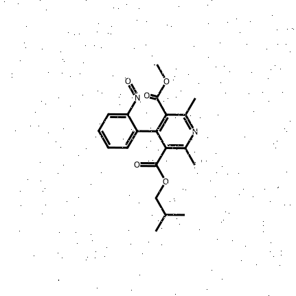 COC(=O)c1c(C)nc(C)c(C(=O)OCC(C)C)c1-c1ccccc1N=O